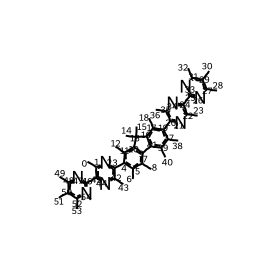 Cc1nc(-c2c(C)c(C)c3c(c2C)C(C)(C)c2c(C)c(-c4nc(C)c(-c5nc(C)c(C)c(C)n5)nc4C)c(C)c(C)c2-3)c(C)nc1-c1nc(C)c(C)c(C)n1